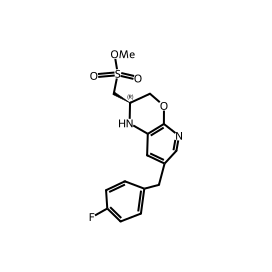 COS(=O)(=O)C[C@H]1COc2ncc(Cc3ccc(F)cc3)cc2N1